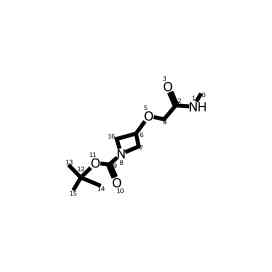 CNC(=O)COC1CN(C(=O)OC(C)(C)C)C1